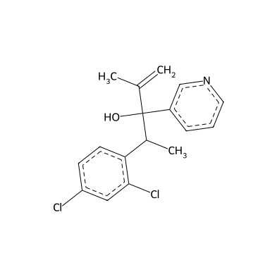 C=C(C)C(O)(c1cccnc1)C(C)c1ccc(Cl)cc1Cl